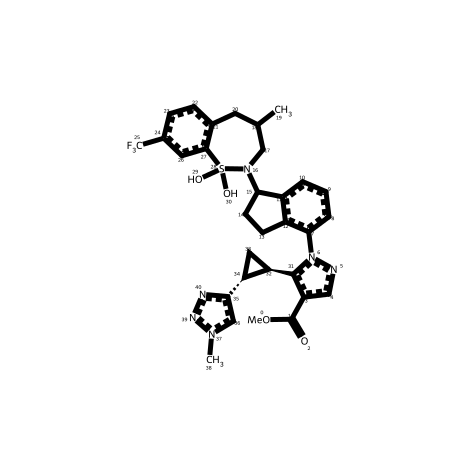 COC(=O)c1cnn(-c2cccc3c2CCC3N2CC(C)Cc3ccc(C(F)(F)F)cc3S2(O)O)c1[C@@H]1C[C@H]1c1cn(C)nn1